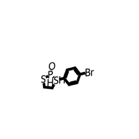 O=[PH]1SCC[SH]1c1ccc(Br)cc1